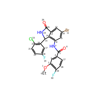 CCOc1cc(C(=O)Nc2cc(Br)cc3c2C(c2cc(F)ccc2Cl)NC3=O)ccc1F